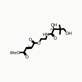 COC(=O)/C=C/C(=O)OCCNC(=O)[C@@H](O)C(C)(C)CO